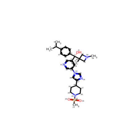 CC(C)c1ccc([C@](O)(c2cncc(-n3cnc(C4CCN(S(C)(=O)=O)CC4)c3)c2)C2(C)CN(C)C2)cc1